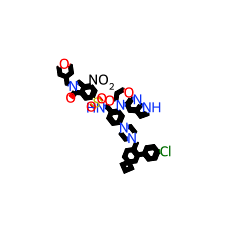 O=C(NS(=O)(=O)c1cc2c(c([N+](=O)[O-])c1)CN(CC1CCOCC1)C2=O)c1ccc(N2CCN(CC3=C(c4ccc(Cl)cc4)CC4(CCC4)CC3)CC2)cc1N1CCCOc2nc3[nH]ccc3cc21